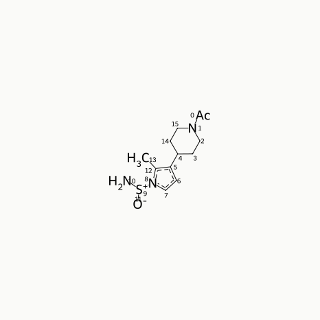 CC(=O)N1CCC(c2ccn([S+](N)[O-])c2C)CC1